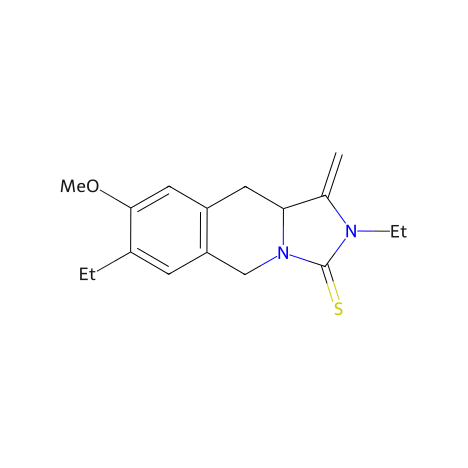 C=C1C2Cc3cc(OC)c(CC)cc3CN2C(=S)N1CC